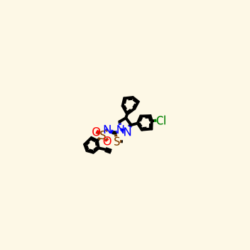 C#Cc1ccccc1S(=O)(=O)N=C(SC)N1CC(c2ccccc2)C(c2ccc(Cl)cc2)=N1